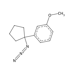 COc1cccc(C2(N=[N+]=[N-])CCCC2)c1